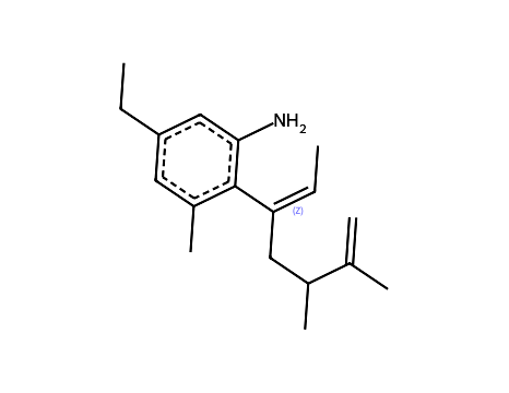 C=C(C)C(C)C/C(=C/C)c1c(C)cc(CC)cc1N